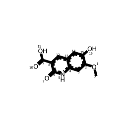 COc1cc2[nH]c(=O)c(C(=O)O)cc2cc1O